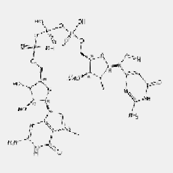 CO[C@@H]1C(C)[C@H](n2cnc3c(=O)[nH]c(N)nc32)O[C@@H]1COP(=O)(O)OP(=O)(O)OP(=O)(O)OC[C@H]1O[C@@H](n2c[n+](C)c3c(=O)[nH]c(N)nc32)[C@@H](O)C1O